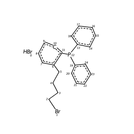 Br.BrCCCCc1ccccc1P(c1ccccc1)c1ccccc1